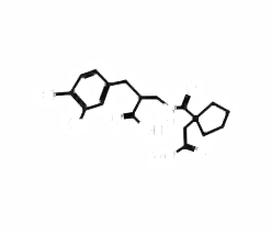 O=C(O)CC1(C(=O)NCC(Cc2ccc(Cl)c(Cl)c2)C(=O)O)CCCC1